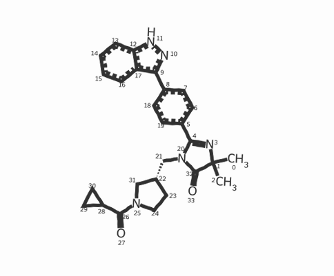 CC1(C)N=C(c2ccc(-c3n[nH]c4ccccc34)cc2)N(C[C@@H]2CCN(C(=O)C3CC3)C2)C1=O